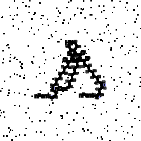 CCCCC/C=C\C/C=C\CCCCCCCC(=O)Nc1sc2c(c1C(=O)N(CCCCCCCCCCCCCCCCCC)C(=O)CCCCCCC/C=C\C/C=C\CCCCC)CCNC2